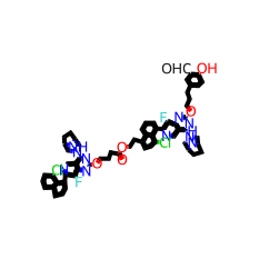 O=Cc1cc(CCCOc2nc(N3CC4CCC(C3)N4)c3cnc(-c4cccc5c(CCOC(=O)CCCOc6nc(N7CC8CCC(C7)N8)c7cnc(-c8cccc9cccc(Cl)c89)c(F)c7n6)ccc(Cl)c45)c(F)c3n2)ccc1O